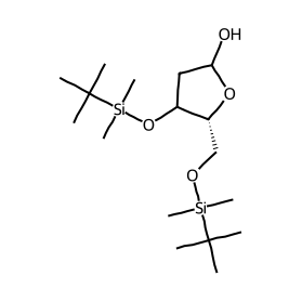 CC(C)(C)[Si](C)(C)OC[C@H]1OC(O)CC1O[Si](C)(C)C(C)(C)C